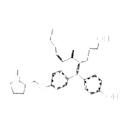 C=C(/C=C\CCC)/C(CCCO)=C(/c1ccc(O)cc1)c1ccc(OC[C@H]2CCCN2C)cc1